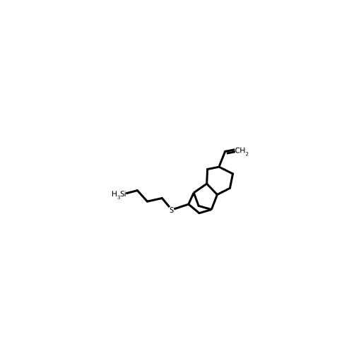 C=CC1CCC2C3CC(SCCC[SiH3])C(C3)C2C1